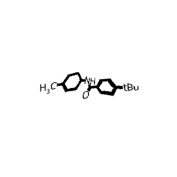 CC1CCC(NC(=O)c2ccc(C(C)(C)C)cc2)CC1